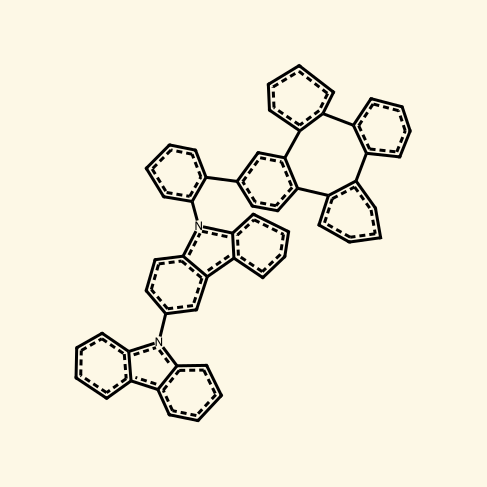 c1ccc2c(c1)-c1ccccc1-c1ccc(-c3ccccc3-n3c4ccccc4c4cc(-n5c6ccccc6c6ccccc65)ccc43)cc1-c1ccccc1-2